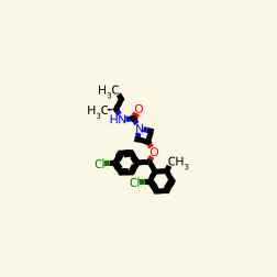 CC[C@@H](C)NC(=O)N1CC(OC(c2ccc(Cl)cc2)C2C(Cl)=CC=CC2C)C1